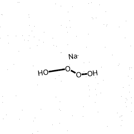 OOOO.[Na]